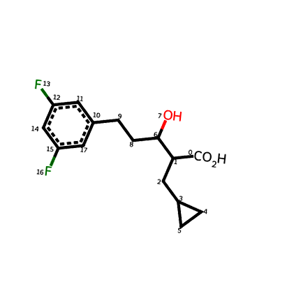 O=C(O)C(CC1CC1)C(O)CCc1cc(F)cc(F)c1